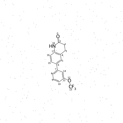 O=C1CCc2cc(-c3cccc(OC(F)(F)F)c3)ccc2N1